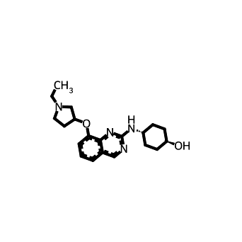 CCN1CCC(Oc2cccc3cnc(N[C@H]4CC[C@H](O)CC4)nc23)C1